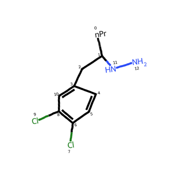 CCCC(Cc1ccc(Cl)c(Cl)c1)NN